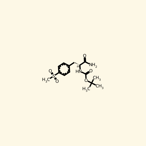 CC(C)(C)OC(=O)N[C@H](Cc1ccc(S(C)(=O)=O)cc1)C(N)=O